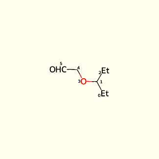 CCC(CC)OCC=O